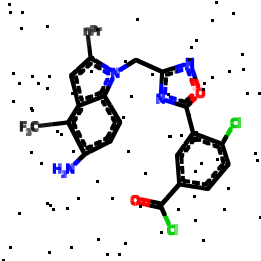 CCCc1cc2c(C(F)(F)F)c(N)ccc2n1Cc1noc(-c2cc(C(=O)Cl)ccc2Cl)n1